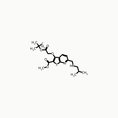 COC(=O)c1sc2nc(CNCC(C)C)ccc2c1OCC(=O)OC(C)(C)C